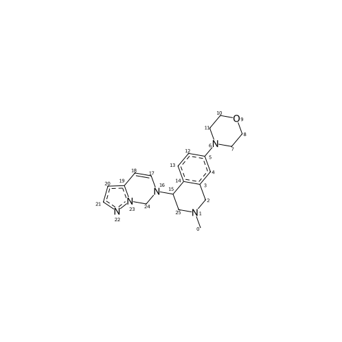 CN1Cc2cc(N3CCOCC3)ccc2C(N2C=Cc3ccnn3C2)C1